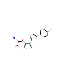 N#Cc1c(O)c2c(-c3ccc(-c4ccc(N)cc4)s3)csc2[nH]c1=O